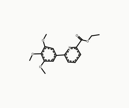 CCOC(=O)c1cccc(-c2cc(OC)c(OC)c(OC)c2)n1